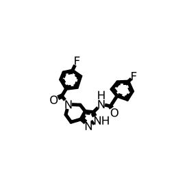 O=C(Nc1[nH]nc2c1CN(C(=O)c1ccc(F)cc1)CC2)c1ccc(F)cc1